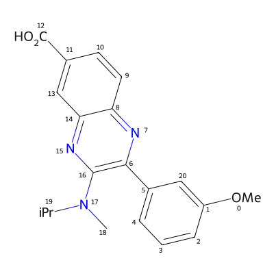 COc1cccc(-c2nc3ccc(C(=O)O)cc3nc2N(C)C(C)C)c1